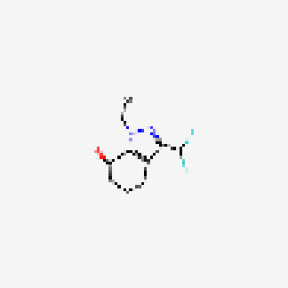 CC(=O)Cn1nc(C(F)F)c2c1C(=O)CCC2